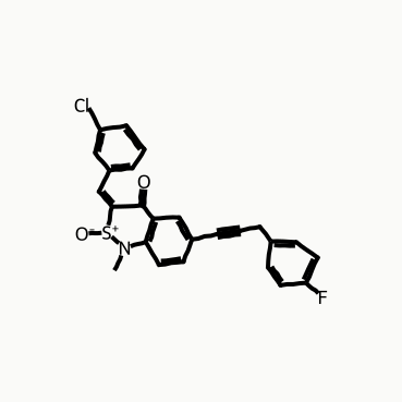 CN1c2ccc(C#CCc3ccc(F)cc3)cc2C(=O)/C(=C\c2cccc(Cl)c2)[S+]1[O-]